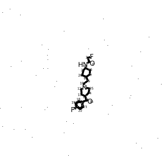 O=C(CF)NC1CCC(CCN2CCC(C(=O)c3ccc(F)cc3)CC2)CC1